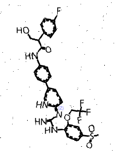 CS(=O)(=O)c1ccc(NC(=N)/N=c2/ccc(-c3ccc(NC(=O)C(CO)c4ccc(F)cc4)cc3)c[nH]2)c(OCC(F)(F)F)c1